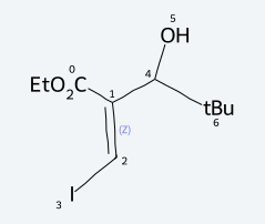 CCOC(=O)/C(=C\I)C(O)C(C)(C)C